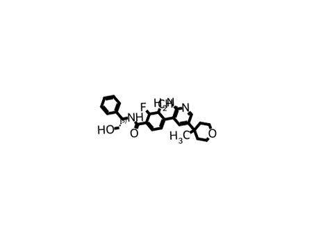 CC1C(c2cc(C3(C)CCOCC3)cnc2N)=CC=C(C(=O)N[C@H](CO)c2ccccc2)C1F